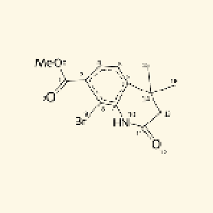 COC(=O)c1ccc2c(c1Br)NC(=O)CC2(C)C